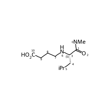 CNC(=O)[C@H](CC(C)C)NCCCC(=O)O